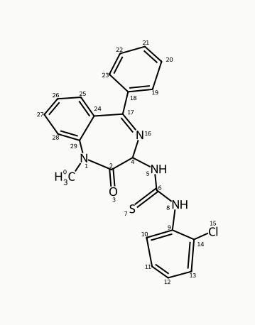 CN1C(=O)C(NC(=S)Nc2ccccc2Cl)N=C(c2ccccc2)c2ccccc21